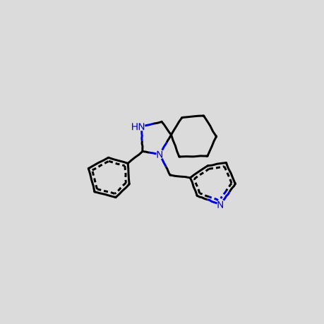 c1ccc(C2NCC3(CCCCC3)N2Cc2cccnc2)cc1